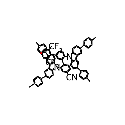 Cc1ccc(-c2ccc3c(c2)c2cc(-c4ccc(C)cc4)ccc2n3-c2ccc(-c3c(C(F)(F)F)cccc3C(F)(F)F)cc2-c2ccc(C#N)cc2-n2c3ccc(-c4ccc(C)cc4)cc3c3cc(-c4ccc(C)cc4)ccc32)cc1